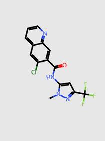 Cn1nc(C(F)(F)F)cc1NC(=O)c1cc2ncccc2cc1Cl